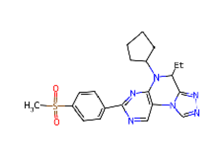 CCC1c2nncn2-c2cnc(-c3ccc(S(C)(=O)=O)cc3)nc2N1C1CCCC1